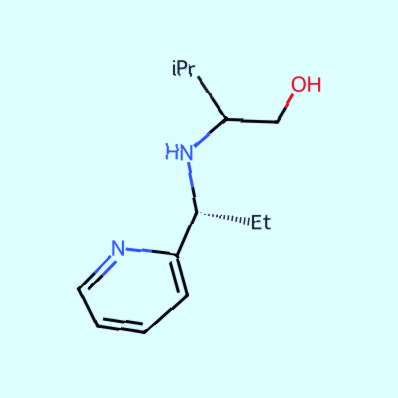 CC[C@@H](NC(CO)C(C)C)c1ccccn1